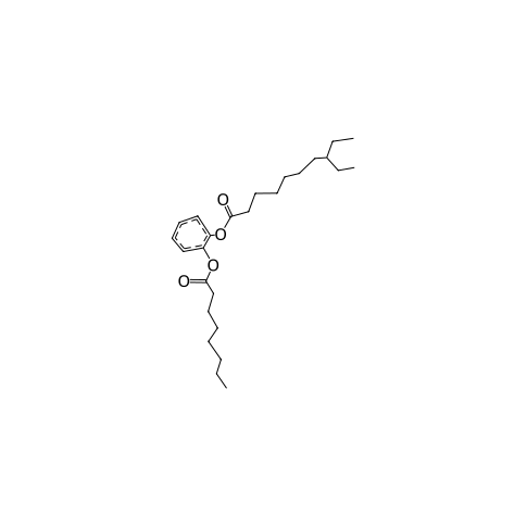 CCCCCCCC(=O)Oc1ccccc1OC(=O)CCCCCCC(CC)CC